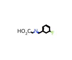 O=C(O)C/N=C/C1=CC=CC(F)C1